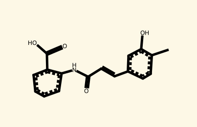 Cc1ccc(/C=C/C(=O)Nc2ccccc2C(=O)O)cc1O